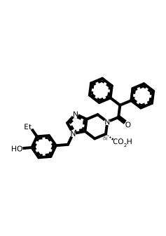 CCc1cc(Cn2cnc3c2C[C@@H](C(=O)O)N(C(=O)C(c2ccccc2)c2ccccc2)C3)ccc1O